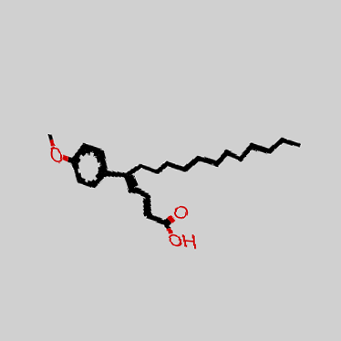 CCCCCCCCCCCC/C(=C\C=C\C(=O)O)c1ccc(OC)cc1